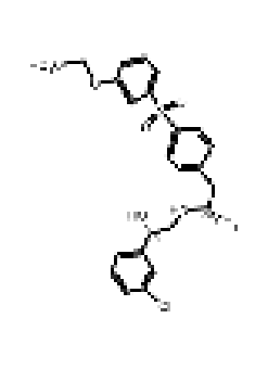 C[C@H](Cc1ccc(S(=O)(=O)c2cccc(OCC(=O)O)c2)cc1)NC[C@@H](O)c1cccc(Cl)c1